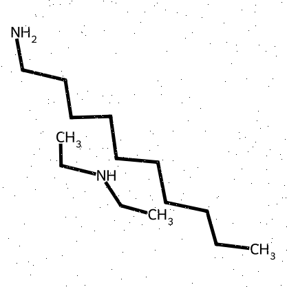 CCCCCCCCCCN.CCNCC